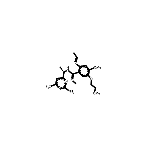 C/C=N/c1cc(OC)c(OCCOC)cc1/C(=N\C)N[C@H](C)c1cc(C(F)(F)F)nc(N)n1